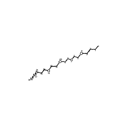 CCCCOCCOCCOCCOCCN=[N+]=[N-]